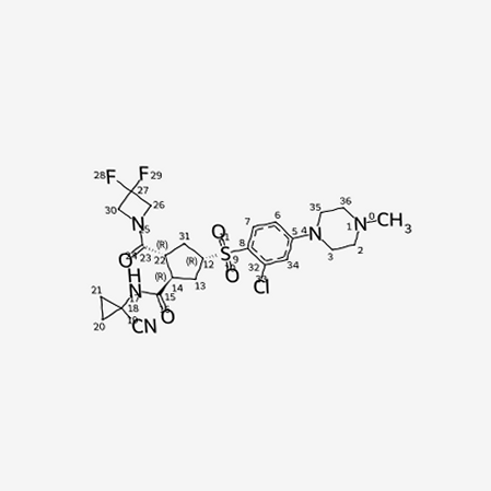 CN1CCN(c2ccc(S(=O)(=O)[C@@H]3C[C@@H](C(=O)NC4(C#N)CC4)[C@H](C(=O)N4CC(F)(F)C4)C3)c(Cl)c2)CC1